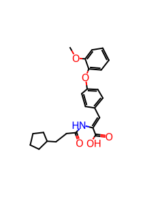 COc1ccccc1Oc1ccc(C=C(NC(=O)CCC2CCCC2)C(=O)O)cc1